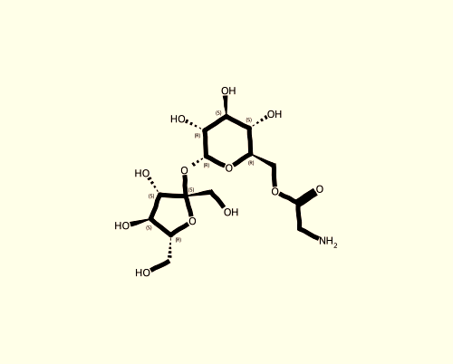 NCC(=O)OC[C@H]1O[C@H](O[C@]2(CO)O[C@H](CO)[C@@H](O)[C@@H]2O)[C@H](O)[C@@H](O)[C@@H]1O